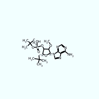 COC1C(OP(=O)(O)OC(C)(C)C)[C@@H](CC(C)(C)C)O[C@H]1n1cnc2c(N)ncnc21